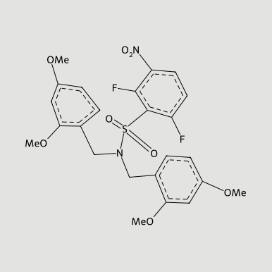 COc1ccc(CN(Cc2ccc(OC)cc2OC)S(=O)(=O)c2c(F)ccc([N+](=O)[O-])c2F)c(OC)c1